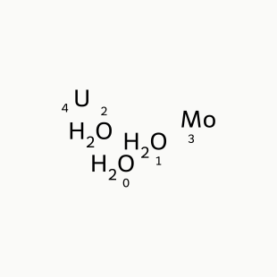 O.O.O.[Mo].[U]